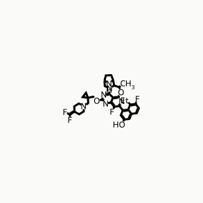 CCc1c(F)ccc2cc(O)cc(-c3nc4c5c(nc(OCC6(CN7CCC(=C(F)F)CC7)CC6)nc5c3F)N3CC5CCC(N5)C3C(C)O4)c12